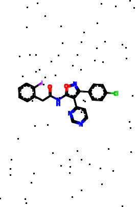 O=C(Cc1ccccc1I)Nc1onc(-c2ccc(Cl)cc2)c1-c1ccncn1